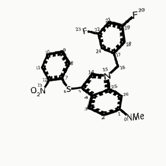 CNc1ccc2c(Sc3ccccc3[N+](=O)[O-])cn(Cc3cc(F)cc(F)c3)c2c1